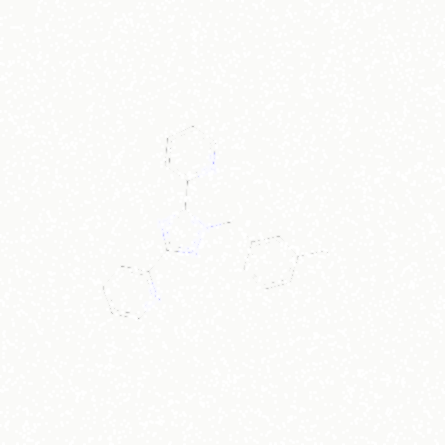 O=[N+]([O-])c1cccc(Cn2nc(-c3ccccn3)nc2-c2ccccn2)c1